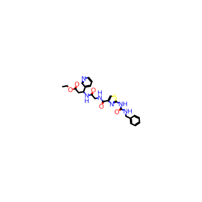 CCOC(=O)CC(NC(=O)CNC(=O)c1csc(NC(=O)NCc2ccccc2)n1)c1cccnc1